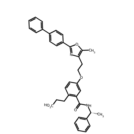 Cc1oc(-c2ccc(-c3ccccc3)cc2)nc1CCOc1ccc(CCC(=O)O)c(C(=O)N[C@H](C)c2ccccc2)c1